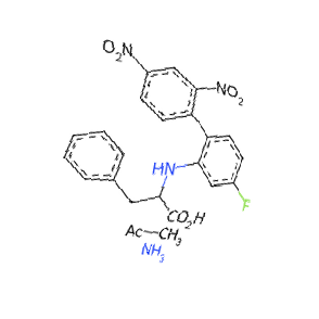 CC(C)=O.N.O=C(O)C(Cc1ccccc1)Nc1cc(F)ccc1-c1ccc([N+](=O)[O-])cc1[N+](=O)[O-]